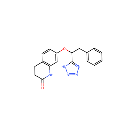 O=C1CCc2ccc(OC(Cc3ccccc3)c3nnn[nH]3)cc2N1